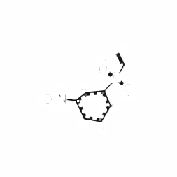 C=CS(=O)(=O)c1cccc([N+](=O)[O-])c1